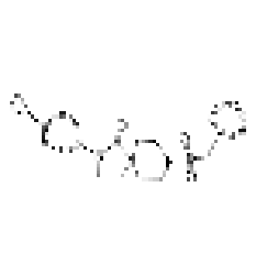 O=C1N(c2ccc(C3CC3)cc2)CCC12CCN(S(=O)(=O)Cc1ccccc1)CC2